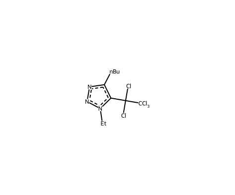 CCCCc1nnn(CC)c1C(Cl)(Cl)C(Cl)(Cl)Cl